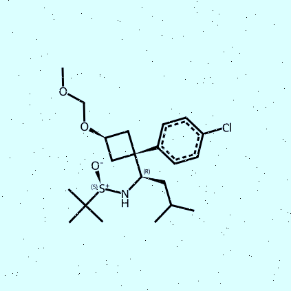 COCO[C@H]1C[C@](c2ccc(Cl)cc2)([C@@H](CC(C)C)N[S@+]([O-])C(C)(C)C)C1